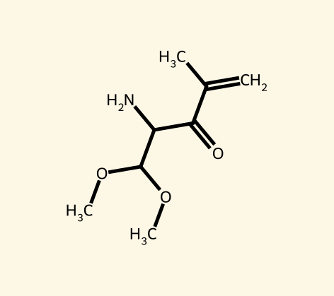 C=C(C)C(=O)C(N)C(OC)OC